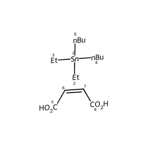 CCC[CH2][Sn]([CH2]C)([CH2]C)[CH2]CCC.O=C(O)/C=C\C(=O)O